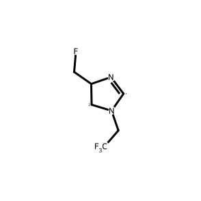 FCC1[C]N(CC(F)(F)F)[C]=N1